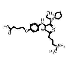 CCN(C(=O)C(NC(=O)CCCN(C)C)Nc1ccc(OCCCC(=O)O)cc1)N1CCCC1